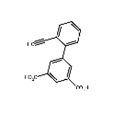 C#Cc1ccccc1-c1cc(C(=O)O)cc(C(=O)O)c1